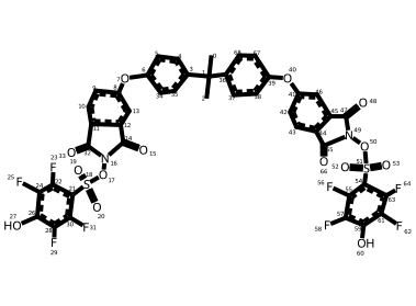 CC(C)(c1ccc(Oc2ccc3c(c2)C(=O)N(OS(=O)(=O)c2c(F)c(F)c(O)c(F)c2F)C3=O)cc1)c1ccc(Oc2ccc3c(c2)C(=O)N(OS(=O)(=O)c2c(F)c(F)c(O)c(F)c2F)C3=O)cc1